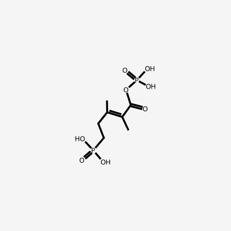 CC(CCP(=O)(O)O)=C(C)C(=O)OP(=O)(O)O